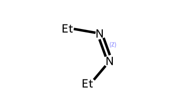 CC/N=N\CC